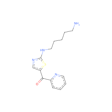 NCCCCCNc1ncc(C(=O)c2ccccn2)s1